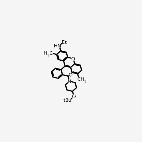 CCNc1cc2c(cc1C)C(c1ccccc1C(=O)N1CCC(OC(C)(C)C)CC1)=C1C=C(C)CC=C1O2